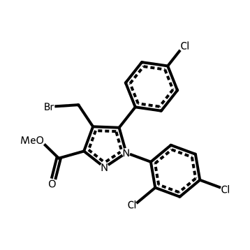 COC(=O)c1nn(-c2ccc(Cl)cc2Cl)c(-c2ccc(Cl)cc2)c1CBr